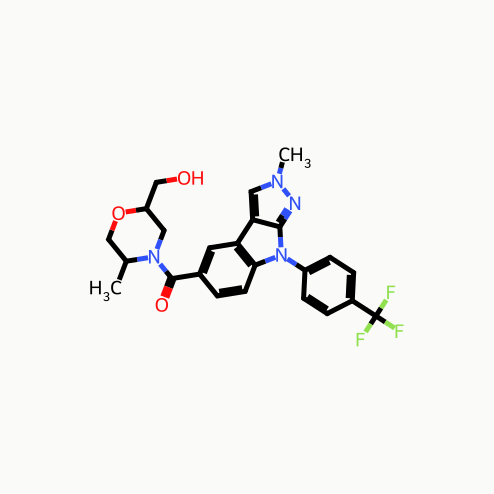 CC1COC(CO)CN1C(=O)c1ccc2c(c1)c1cn(C)nc1n2-c1ccc(C(F)(F)F)cc1